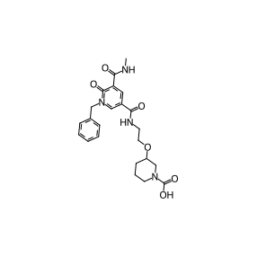 CNC(=O)c1cc(C(=O)NCCOC2CCCN(C(=O)O)C2)cn(Cc2ccccc2)c1=O